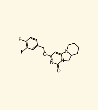 O=c1nc(OCc2ccc(F)c(F)c2)cc2n1CC1CCCCN21